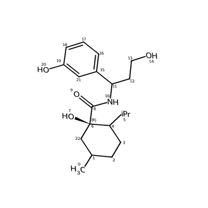 CC1CCC(C(C)C)[C@@](O)(C(=O)NC(CCO)c2cccc(O)c2)C1